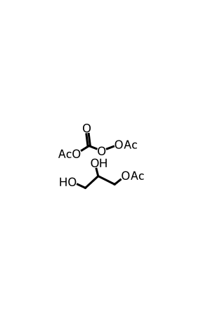 CC(=O)OCC(O)CO.CC(=O)OOC(=O)OC(C)=O